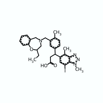 CCC1CN(Cc2cc(C(CC(=O)O)c3cc(I)c4c(nnn4C)c3C)ccc2C)Cc2ccccc2O1